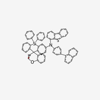 c1ccc([Si]2(c3ccccc3)c3ccccc3C3(c4ccccc4Oc4ccccc43)c3ccc(N(c4ccc(-c5cccc6ccccc56)cc4)c4cccc5c4sc4ccccc45)cc32)cc1